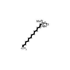 C=CCCCCCCCCCCCC[Si](OC)(OC)OCC